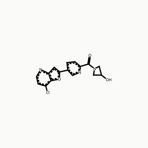 O=C(c1ccc(-c2cc3nccc(Cl)c3o2)cn1)N1CC(O)C1